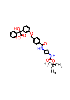 CC(C)(C)OC(=O)NC1CC(NC(=O)c2ccc(COc3cccc([C@](O)(C(=O)O)c4ccccc4)c3)cc2)C1